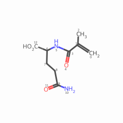 C=C(C)C(=O)NC(CCC(N)=O)C(=O)O